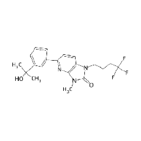 Cn1c(=O)n(CCCC(F)(F)F)c2ccc(-c3cccc(C(C)(C)O)c3)nc21